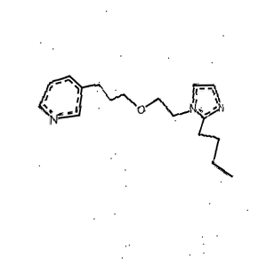 CCCCc1nccn1CCOCCCc1cccnc1